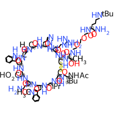 CC[C@H](C)[C@H](NC(C)=O)C(=O)N[C@H]1CSSC[C@@H](C(=O)N[C@H](C(=O)NCCOCCOCC(=O)N[C@@H](CCCCNC(C)(C)C)C(N)=O)[C@@H](C)O)NC(=O)[C@H](CCCNC(=N)N)NC(=O)[C@H](Cc2cnc[nH]2)NC(=O)[C@H](C)NC(=O)CNC(=O)[C@H](Cc2c[nH]c3ccccc23)NC(=O)[C@H](CC(=O)O)NC(=O)[C@H](CCC(N)=O)NC(=O)[C@H](Cc2cn(C)c3ccccc23)NC(=O)[C@H](C(C)C)NC1=O